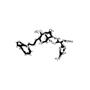 CON=C(C(=O)N[C@@H]1C(=O)N2C(C(=O)O)=C(C=CC[n+]3cccc4ccsc43)SC[C@H]12)c1nsc(N)n1